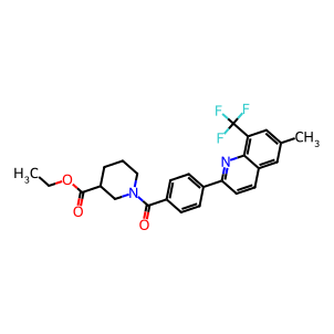 CCOC(=O)C1CCCN(C(=O)c2ccc(-c3ccc4cc(C)cc(C(F)(F)F)c4n3)cc2)C1